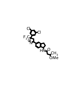 COC(C)CC(=O)NC1CCc2cc(C3=NOC(c4cc(Cl)cc(Cl)c4)(C(F)(F)F)C3)ccc21